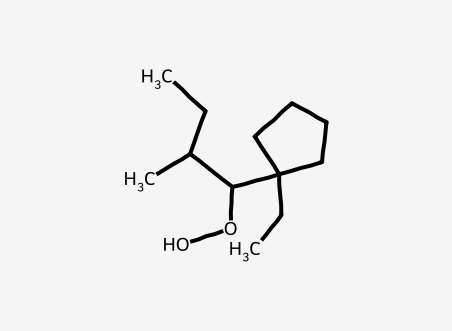 CCC(C)C(OO)C1(CC)CCCC1